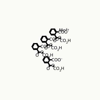 O=C(O)OC(=O)c1ccccc1C(=O)[O-].O=C(O)OC(=O)c1ccccc1C(=O)[O-].O=C(O)OC(=O)c1ccccc1C(=O)[O-].O=C(O)OC(=O)c1ccccc1C(=O)[O-].[Mo+4]